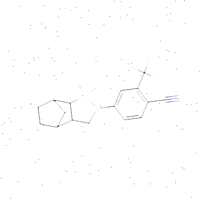 C[C@@]12[C@@H](CN(c3ccc(C#N)c(C(F)(F)F)c3)S1(O)O)[C@H]1C[C@H](O)[C@@H]2C1